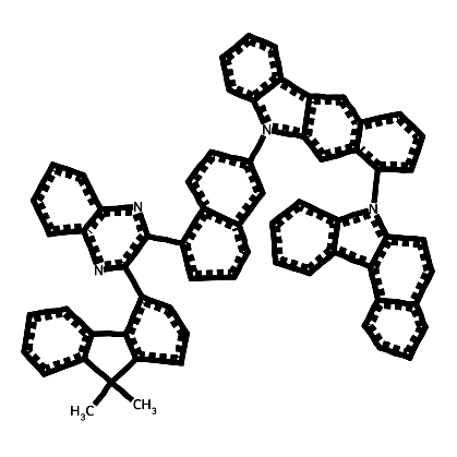 CC1(C)c2ccccc2-c2c(-c3nc4ccccc4nc3-c3cccc4cc(-n5c6ccccc6c6cc7cccc(-n8c9ccccc9c9c%10ccccc%10ccc98)c7cc65)ccc34)cccc21